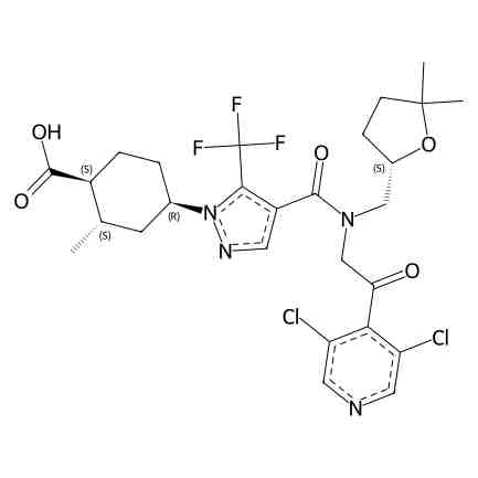 C[C@H]1C[C@H](n2ncc(C(=O)N(CC(=O)c3c(Cl)cncc3Cl)C[C@@H]3CCC(C)(C)O3)c2C(F)(F)F)CC[C@@H]1C(=O)O